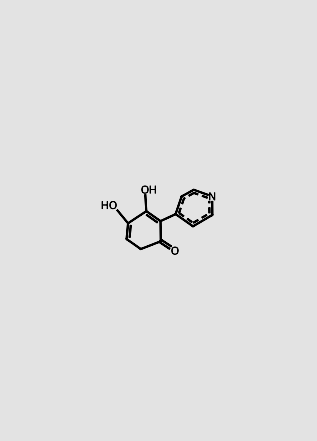 O=C1CC=C(O)C(O)=C1c1ccncc1